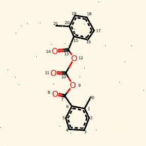 Cc1ccccc1C(=O)OC(=O)OC(=O)c1ccccc1C